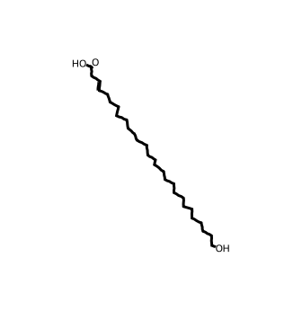 O=C(O)C/C=C/CCCCCCCCCCCCCCCCCCCCCCCCO